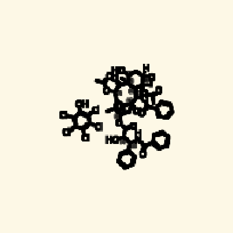 CC(=O)O[C@H]1C(=O)[C@@]2(C)[C@H]([C@H](OC(=O)c3ccccc3)[C@]3(O)C[C@H](OC(=O)[C@H](O)[C@@H](NC(=O)c4ccccc4)c4ccccc4)C(C)=C1C3(C)C)[C@]1(OC(C)=O)CO[C@@H]1C[C@@H]2O.Oc1c(Cl)c(Cl)c(Cl)c(Cl)c1Cl